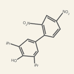 CC(C)c1cc(-c2ccc([N+](=O)[O-])cc2[N+](=O)[O-])cc(C(C)C)c1O